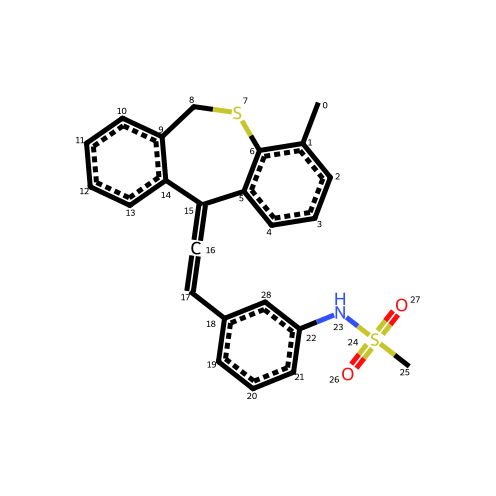 Cc1cccc2c1SCc1ccccc1C2=C=Cc1cccc(NS(C)(=O)=O)c1